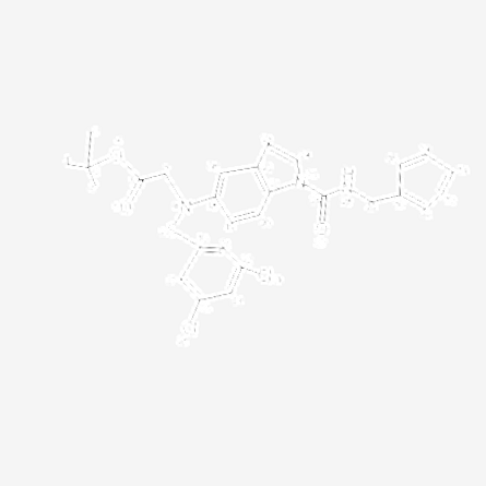 CC(C)(C)OC(=O)CN(Sc1cc(Cl)cc(Cl)c1)c1ccc2c(ccn2C(=O)NCc2ccccc2)c1